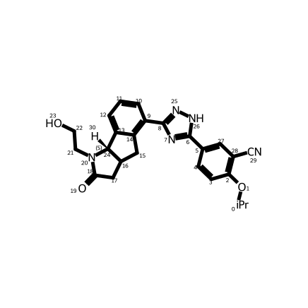 CC(C)Oc1ccc(-c2nc(-c3cccc4c3CC3CC(=O)N(CCO)[C@H]43)n[nH]2)cc1C#N